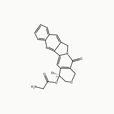 CC[C@@]1(OC(=O)CN)COCc2c1cc1n(c2=O)Cc2cc3ccccc3nc2-1